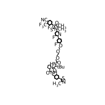 Cc1ncsc1-c1ccc(CNC(=O)C2CCCN2C(=O)C(NC(=O)COCCOCCOc2ccc(-c3ncc(N4C(=S)N(c5ccc(C#N)c(C(F)(F)F)c5F)C(=O)C4(C)C)cc3F)cc2F)C(C)(C)C)cc1